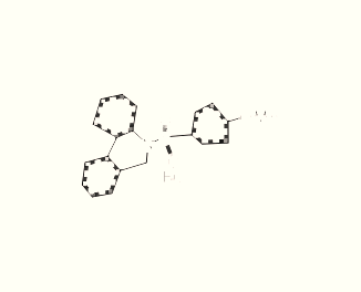 COc1ccc(S(=O)(=O)N2c3ccccc3-c3ccccc3[C@H]2C(C)(C)C)cc1